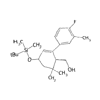 Cc1cc(C2=CC(O[Si](C)(C)C(C)(C)C)CC(C)(C)C2CO)ccc1F